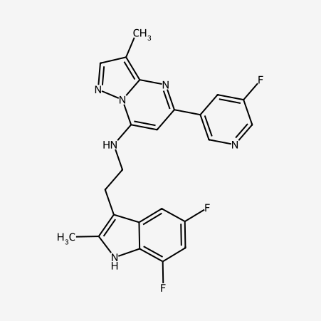 Cc1[nH]c2c(F)cc(F)cc2c1CCNc1cc(-c2cncc(F)c2)nc2c(C)cnn12